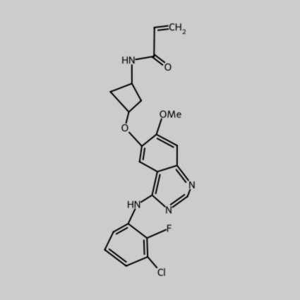 C=CC(=O)NC1CC(Oc2cc3c(Nc4cccc(Cl)c4F)ncnc3cc2OC)C1